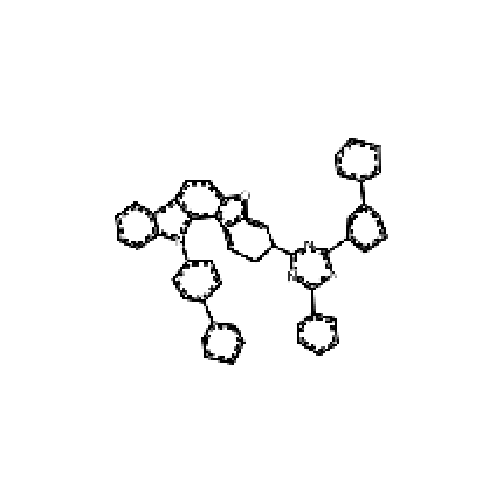 C1=c2oc3ccc4c5ccccc5n(-c5ccc(-c6ccccc6)cc5)c4c3c2=CCC1c1nc(-c2ccccc2)nc(-c2cccc(-c3ccccc3)c2)n1